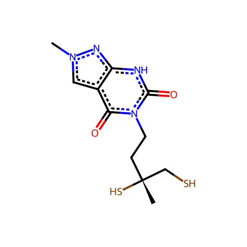 Cn1cc2c(=O)n(CC[C@@](C)(S)CS)c(=O)[nH]c2n1